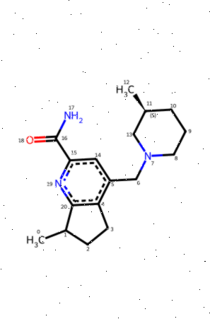 CC1CCc2c(CN3CCC[C@H](C)C3)cc(C(N)=O)nc21